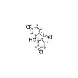 Oc1cc(Cl)ccc1C(=CCl)c1ccc(Cl)cc1